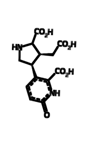 O=C(O)C[C@@H]1C(C(=O)O)NC[C@@H]1c1ccc(=O)[nH]c1C(=O)O